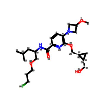 COC1CN(c2ccc(C(=O)NC(COCCCF)CC(C)C)nc2OC[C@@H]2C[C@@H]2CO)C1